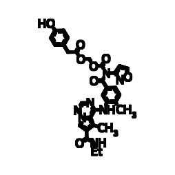 CCNC(=O)c1cn2ncnc(Nc3cc(C(=O)N(C(=O)OCOC(=O)Cc4ccc(O)cc4)c4ccon4)ccc3C)c2c1C